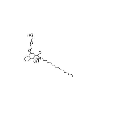 CCCCCCCCCCCCCCCCNC(=O)c1cc(OCCOCCO)c2ccccc2c1O